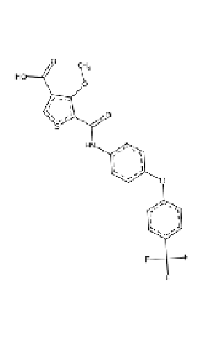 COc1c(C(=O)O)csc1C(=O)Nc1ccc(Oc2ccc(C(F)(F)F)cc2)cc1